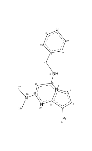 CC(C)c1cnn2c(NCc3ccccc3)cc(N(C)C)nc12